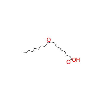 CCCCCCCCC1=C(CCCCCCCC(=O)O)O1